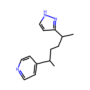 CC(CCC(C)c1cc[nH]n1)c1ccncc1